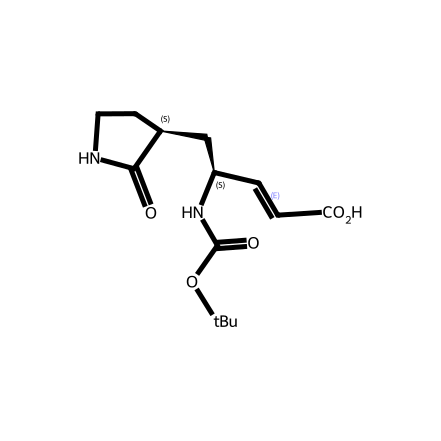 CC(C)(C)OC(=O)N[C@H](/C=C/C(=O)O)C[C@@H]1CCNC1=O